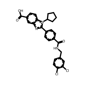 O=C(O)c1ccc2c(c1)nc(-c1ccc(C(=O)NCc3ccc(Cl)c(Cl)c3)cc1)n2C1CCCC1